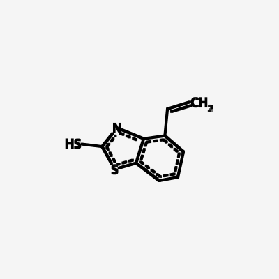 C=Cc1cccc2sc(S)nc12